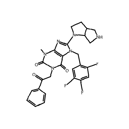 Cn1c(=O)n(CC(=O)c2ccccc2)c(=O)c2c1nc(N1CCC3CNCC31)n2Cc1cc(F)c(F)cc1F